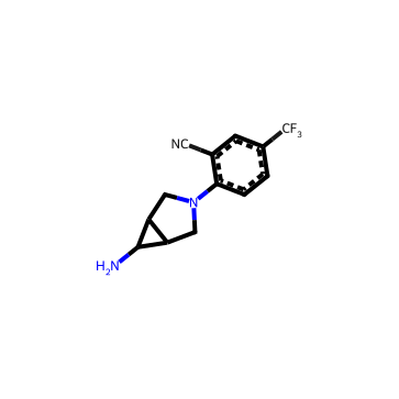 N#Cc1cc(C(F)(F)F)ccc1N1CC2C(N)C2C1